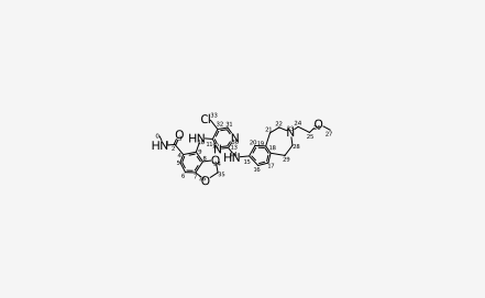 CNC(=O)c1ccc2c(c1Nc1nc(Nc3ccc4c(c3)CCN(CCOC)CC4)ncc1Cl)OCO2